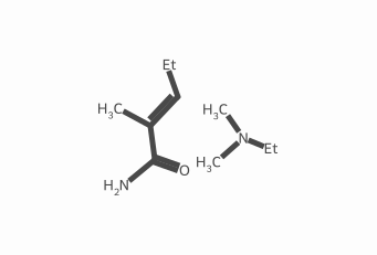 CC/C=C(\C)C(N)=O.CCN(C)C